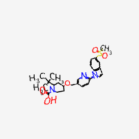 CC(C)(C)C1CC(OCc2ccc(-n3ccc4cc(S(C)(=O)=O)ccc43)nc2)CCN1C(=O)O